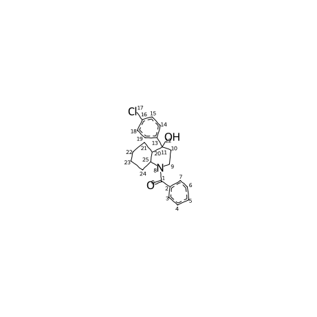 O=C(c1ccccc1)N1CCC(O)(c2ccc(Cl)cc2)C2CCCCC21